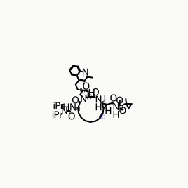 Cc1nc2ccccc2c2c1O[C@]1(CC2)C[C@H]2C(=O)N[C@@]3(I)C(C(=O)NS(=O)(=O)C4(C)CC4)[C@H]3/C=C\CCCCC[C@H](NC(=O)N(C(C)C)C(C)C)C(=O)N2C1